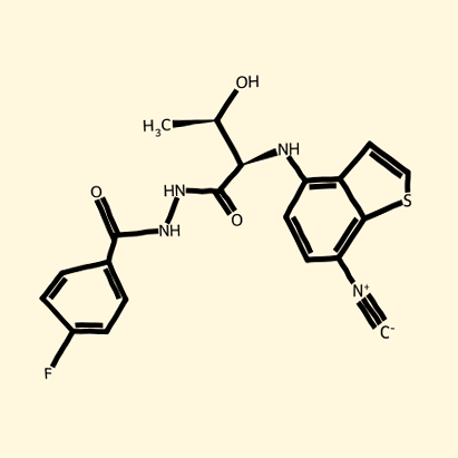 [C-]#[N+]c1ccc(N[C@@H](C(=O)NNC(=O)c2ccc(F)cc2)[C@@H](C)O)c2ccsc12